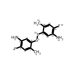 Cc1cc(F)c(N)cc1SSc1cc(N)c(F)cc1C